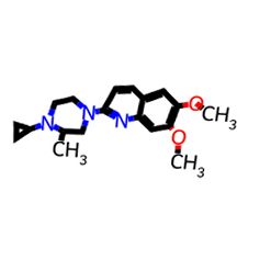 COc1cc2ccc(N3CCN(C4CC4)C(C)C3)nc2cc1OC